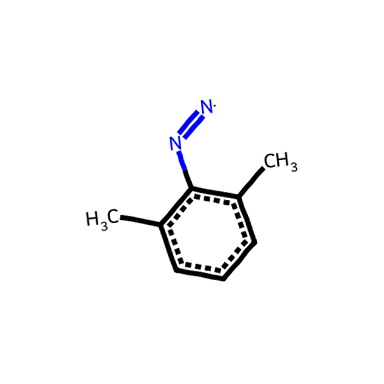 Cc1cccc(C)c1N=[N]